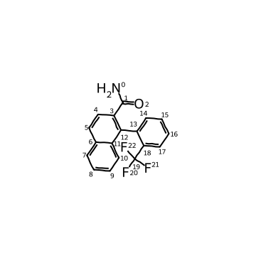 NC(=O)c1ccc2ccccc2c1-c1ccccc1C(F)(F)F